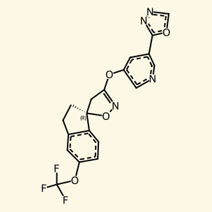 FC(F)(F)Oc1ccc2c(c1)CC[C@@]21CC(Oc2cncc(-c3nnco3)c2)=NO1